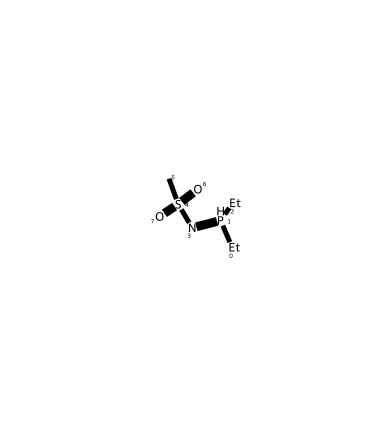 CC[PH](CC)=NS(C)(=O)=O